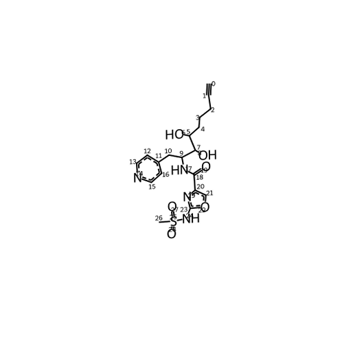 C#CCCCC(O)C(O)C(Cc1ccncc1)NC(=O)c1coc(NS(C)(=O)=O)n1